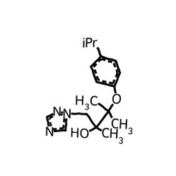 CC(C)c1ccc(OC(C)(C)C(C)(O)Cn2cncn2)cc1